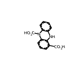 O=C(O)c1cccc2c1Nc1ccccc1N2C(=O)O